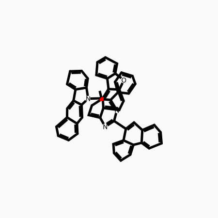 CC1C/C=C(c2ccc3oc4ccccc4c3c2-n2c3ccccc3c3cc4ccccc4cc32)/N=C(c2cc3ccccc3c3ccccc23)\N=C/1c1ccccc1